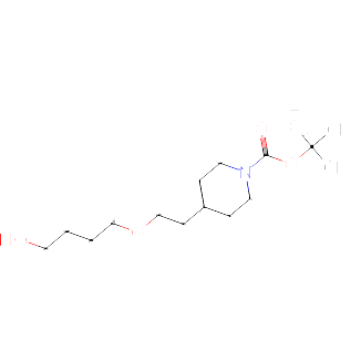 CC(C)(C)OC(=O)N1CCC(CCOCCCCO)CC1